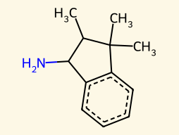 CC1C(N)c2ccccc2C1(C)C